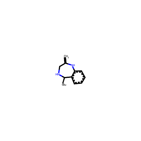 C=C1CNC(C(C)(C)C)c2ccccc2N1